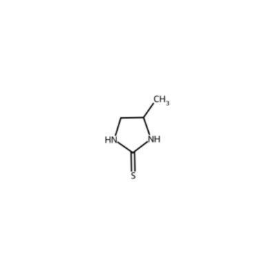 CC1CNC(=S)N1